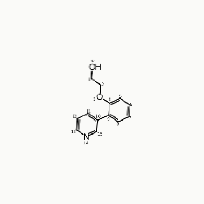 OCCOc1ccccc1-c1cccnc1